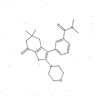 CN(C)C(=O)c1cccc(-c2c(N3CCOCC3)sc3c2CC(C)(C)CC3=O)c1